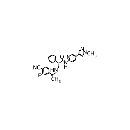 C[C@@H](CNCC(C(=O)Nc1ccc(-c2cnn(C)c2)cn1)c1ccccc1)c1ccc(C#N)c(F)c1